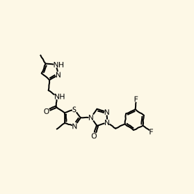 Cc1cc(CNC(=O)c2sc(-n3cnn(Cc4cc(F)cc(F)c4)c3=O)nc2C)n[nH]1